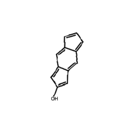 OC1=Cc2cc3c(cc2=C1)C=CC=3